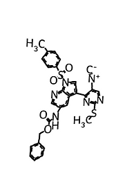 [C-]#[N+]c1cnc(SC)nc1-c1cn(S(=O)(=O)c2ccc(C)cc2)c2ncc(NC(=O)OCc3ccccc3)cc12